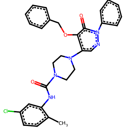 Cc1ccc(Cl)cc1NC(=O)N1CCN(c2cnn(-c3ccccc3)c(=O)c2OCc2ccccc2)CC1